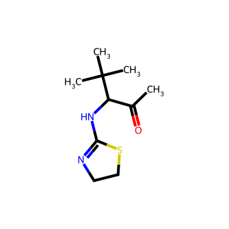 CC(=O)C(NC1=NCCS1)C(C)(C)C